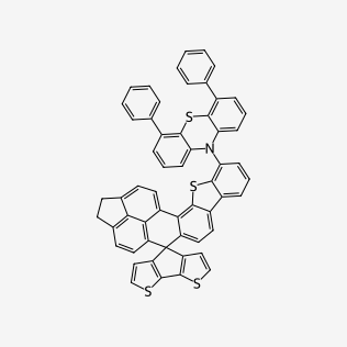 c1ccc(-c2cccc3c2Sc2c(-c4ccccc4)cccc2N3c2cccc3c2sc2c4c(ccc23)C2(c3ccsc3-c3sccc32)c2ccc3c5c(ccc-4c25)CC3)cc1